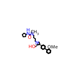 COc1ccccc1-c1ccc([C@@H]2CN(CCCCN(C)C(=O)NC3CCCC3)[C@@H]2CO)cc1